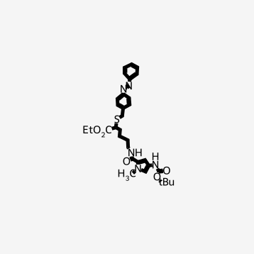 CCOC(=O)C(CCCCNC(=O)c1cc(NC(=O)OC(C)(C)C)cn1C)SCc1ccc(N=Nc2ccccc2)cc1